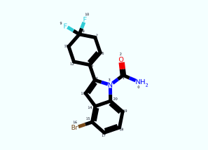 NC(=O)n1c(C2=CCC(F)(F)CC2)cc2c(Br)cccc21